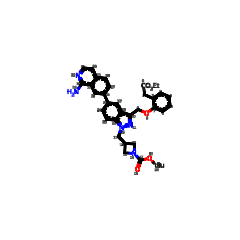 CCOC(=O)Cc1ccccc1OCc1nn(CC2CN(C(=O)OC(C)(C)C)C2)c2ccc(-c3ccc4ccnc(N)c4c3)cc12